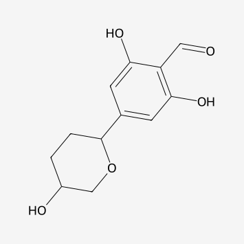 O=Cc1c(O)cc(C2CCC(O)CO2)cc1O